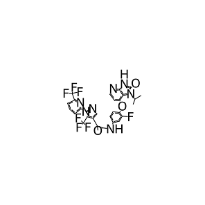 CC(C)n1c(=O)[nH]c2nccc(Oc3ccc(NC4OC4c4cnn(-c5cccc(C(F)(F)F)n5)c4C(F)(F)F)cc3F)c21